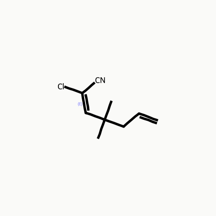 C=CCC(C)(C)/C=C(/Cl)C#N